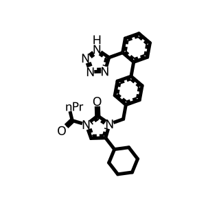 CCCC(=O)n1cc(C2CCCCC2)n(Cc2ccc(-c3ccccc3-c3nnn[nH]3)cc2)c1=O